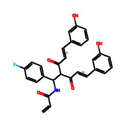 C=CC(=O)NC(c1ccc(F)cc1)C(C(=O)/C=C/c1cccc(O)c1)C(=O)/C=C/c1cccc(O)c1